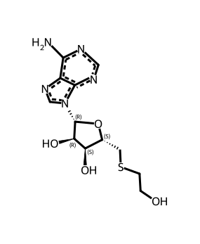 Nc1ncnc2c1ncn2[C@@H]1O[C@H](CSCCO)[C@@H](O)[C@H]1O